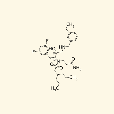 CCCC(CCC)CS(=O)(=O)N(CCC(N)=O)[C@@H](Cc1cc(F)cc(F)c1)[C@H](O)CNCc1cccc(CC)c1